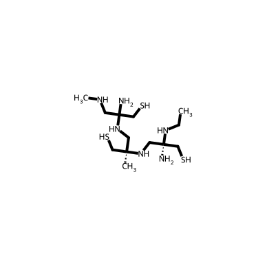 CCN[C@@](N)(CS)CN[C@@](C)(CS)CNC(N)(CS)CNC